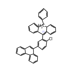 CC1C=CC=C/C1=C(\c1cc(-c2cc3ccccc3c3ccccc23)ccc1Cl)c1ccccc1Cc1ccccc1